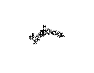 COc1cc(OC)c(F)c(COc2cnc(Nc3ccc(C4CCN(C5CCN(C)CC5)CC4)cc3)nc2)c1F